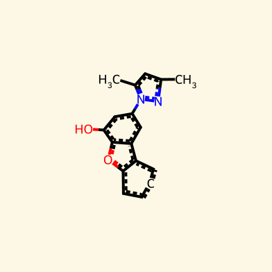 Cc1cc(C)n(-c2cc(O)c3oc4ccccc4c3c2)n1